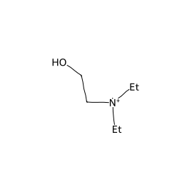 [CH2]C[N+](C[CH2])CCO